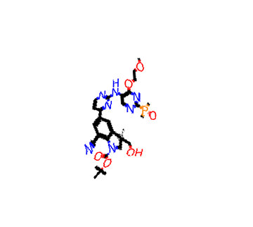 COCCOc1nc(P(C)(C)=O)ncc1Nc1nccc(-c2cc(C#N)c3c(c2)[C@@](C)(CO)CN3C(=O)OC(C)(C)C)n1